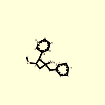 COC1CC(N)(Cc2ccccc2)C1c1cccnc1